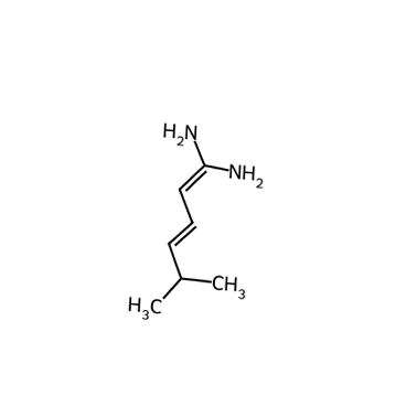 CC(C)/C=C/C=C(N)N